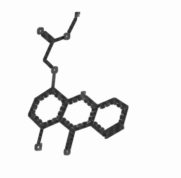 O=C(COc1ccc(Cl)c2c(=O)c3c#cccc3sc12)OF